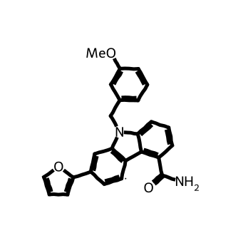 COc1cccc(Cn2c3cc(-c4ccco4)c[c]c3c3c(C(N)=O)cccc32)c1